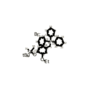 CCOc1cc(C[P+](c2ccccc2)(c2ccccc2)c2ccccc2)ccc1O[Si](C)(C)C(C)(C)C.[Br-]